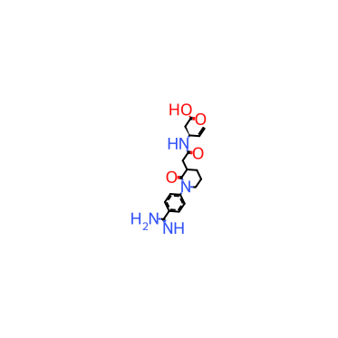 C=C[C@H](CC(=O)O)NC(=O)CC1CCCN(c2ccc(C(=N)N)cc2)C1=O